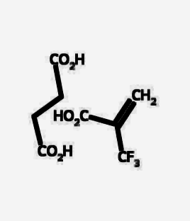 C=C(C(=O)O)C(F)(F)F.O=C(O)CCC(=O)O